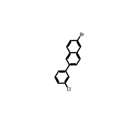 Clc1cccc(-c2ccc3cc(Br)ccc3c2)c1